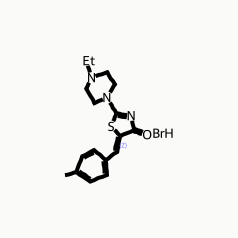 Br.CCN1CCN(C2=NC(=O)/C(=C/c3ccc(C)cc3)S2)CC1